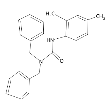 Cc1ccc(NC(=O)N(Cc2ccccc2)Cc2ccccc2)c(C)c1